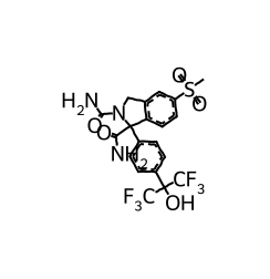 CS(=O)(=O)c1ccc2c(c1)CN(C(N)=O)C2(C(N)=O)c1ccc(C(O)(C(F)(F)F)C(F)(F)F)cc1